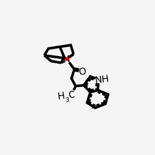 CC(CC(=O)N1C2CC3CC(C2)CC1C3)c1c[nH]c2cc[c]cc12